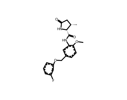 COc1ccc(COc2cccc(F)c2)cc1NC(=O)[C@@H]1NC(=O)C[C@@H]1C